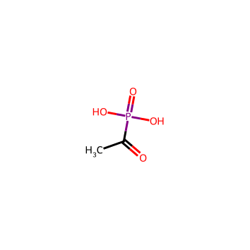 CC(=O)P(=O)(O)O